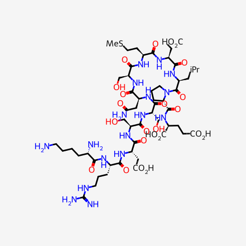 CSCC[C@H](NC(=O)[C@H](CO)NC(=O)[C@H](CC(N)=O)NC(=O)[C@H](CO)NC(=O)[C@H](CO)NC(=O)[C@H](CC(=O)O)NC(=O)[C@H](CCCNC(=N)N)NC(=O)[C@@H](N)CCCCN)C(=O)N[C@@H](CC(=O)O)C(=O)N[C@@H](CC(C)C)C(=O)N1CCC[C@H]1C(=O)N[C@@H](CCC(=O)O)C(=O)O